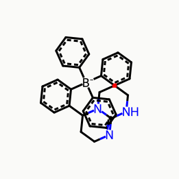 c1ccc([B-](c2ccccc2)(c2ccccc2)c2ccccc2C2CCN=C3NCCCN32)cc1